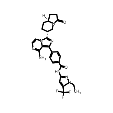 CCn1nc(NC(=O)c2ccc(-c3nc([C@@H]4CC[C@H]5CCC(=O)N5C4)n4ccnc(N)c34)cc2)cc1C(F)(F)F